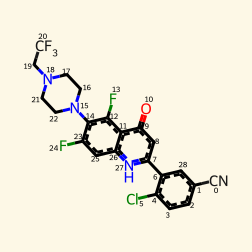 N#Cc1ccc(Cl)c(-c2cc(=O)c3c(F)c(N4CCN(CC(F)(F)F)CC4)c(F)cc3[nH]2)c1